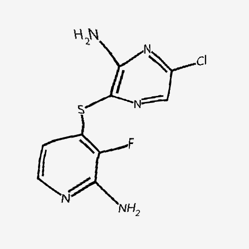 Nc1nc(Cl)cnc1Sc1ccnc(N)c1F